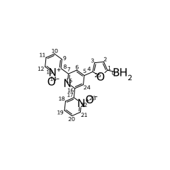 Bc1ccc(-c2cc(-c3cccc[n+]3[O-])nc(-c3cccc[n+]3[O-])c2)o1